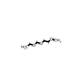 C[C]OCOCCOC